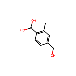 Cc1cc(CO)ccc1B(O)O